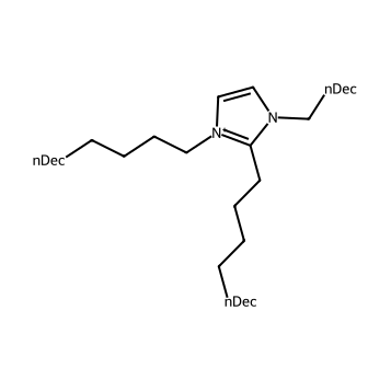 CCCCCCCCCCCCCCc1n(CCCCCCCCCCC)cc[n+]1CCCCCCCCCCCCCC